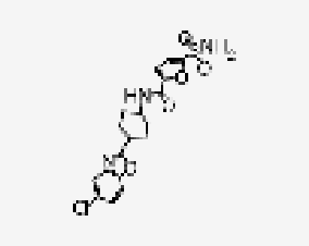 NS(=O)(=O)c1ccc(C(=O)NC2CCC(c3nc4cc(Cl)ccc4o3)CC2)o1